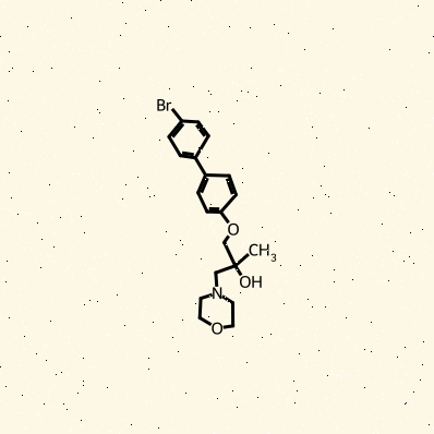 CC(O)(COc1ccc(-c2ccc(Br)cc2)cc1)CN1CCOCC1